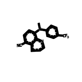 CN(c1ccc(C(F)(F)F)cc1)c1ccc(C#N)c2cccnc12